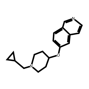 c1cc2cc(OC3CCN(CC4CC4)CC3)ccc2cn1